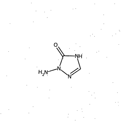 Nn1nc[nH]c1=O